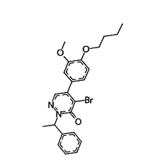 CCCCOc1ccc(-c2cnn(C(C)c3ccccc3)c(=O)c2Br)cc1OC